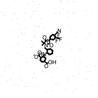 COC(=O)c1ccc(C(=O)O)cc1Nc1ccccc1CN1C(=O)N(c2ccc(C#N)c(C(F)(F)F)c2)C(=O)C1(C)C